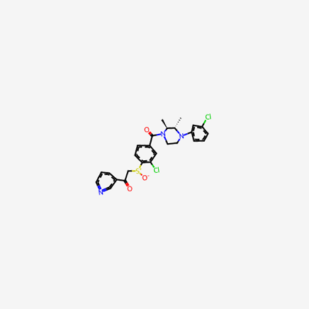 C[C@H]1[C@H](C)N(c2cccc(Cl)c2)CCN1C(=O)c1ccc([S+]([O-])CC(=O)c2cccnc2)c(Cl)c1